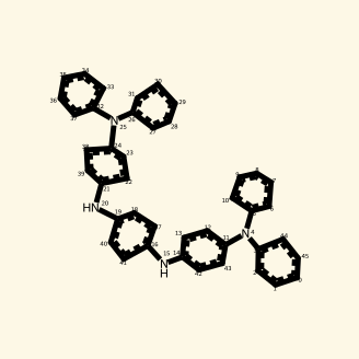 c1ccc(N(c2ccccc2)c2ccc(Nc3ccc(Nc4ccc(N(c5ccccc5)c5ccccc5)cc4)cc3)cc2)cc1